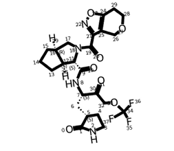 O=C1NCC[C@H]1C[C@H](NC(=O)[C@@H]1[C@H]2CCC[C@H]2CN1C(=O)c1noc2c1COCC2)C(=O)COC(F)(F)F